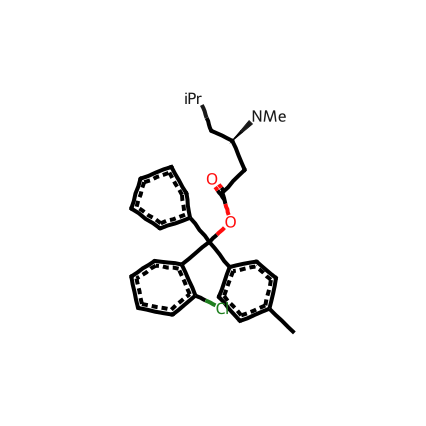 CN[C@@H](CC(=O)OC(c1ccccc1)(c1ccc(C)cc1)c1ccccc1Cl)CC(C)C